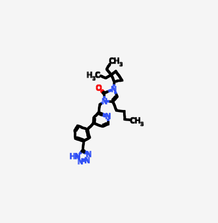 CCCCc1cn(C2CCC2(CC)CC)c(=O)n1Cc1cc(-c2cccc(-c3nnn[nH]3)c2)ccn1